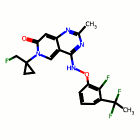 Cc1nc(NOc2cccc(C(C)(F)F)c2F)c2cn(C3(CF)CC3)c(=O)cc2n1